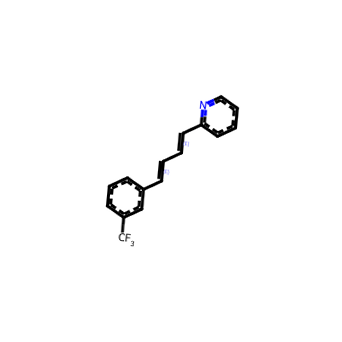 FC(F)(F)c1cccc(/C=C/C=C/c2ccccn2)c1